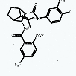 COc1ccc(C(F)(F)F)cc1C(=O)N[C@@H]1C2CCC(C2=C(C)C)[C@@H]1C(=O)Nc1ccc(F)c(C(F)(F)F)c1